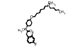 CCCCCN(C)CCCCCCOC1CCC(N(C)C(=O)Cc2ccc(F)cc2F)CC1